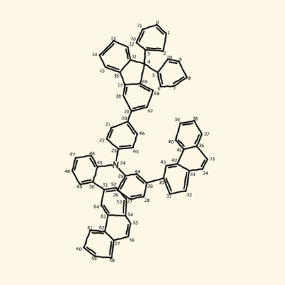 c1ccc(C2(c3ccccc3)c3ccccc3-c3cc(-c4ccc(N(c5cccc(-c6ccc7ccc8ccccc8c7c6)c5)c5ccccc5-c5ccc6ccc7ccccc7c6c5)cc4)ccc32)cc1